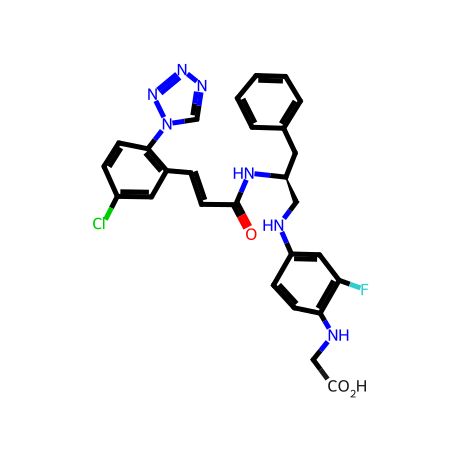 O=C(O)CNc1ccc(NC[C@H](Cc2ccccc2)NC(=O)/C=C/c2cc(Cl)ccc2-n2cnnn2)cc1F